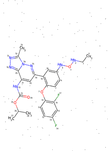 CCNONc1ccc(Oc2ccc(F)cc2F)c(-c2cc(NC(=O)OC(C)C)c3nnc(C)n3n2)c1